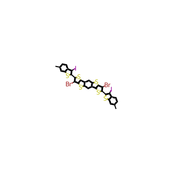 Cc1ccc2c(I)c(-c3sc4c(sc5cc6c(cc54)sc4c(Br)c(-c5sc7cc(C)ccc7c5I)sc46)c3Br)sc2c1